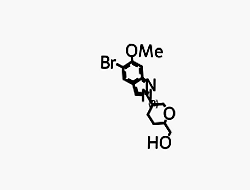 COc1cc2nn([C@@H]3CCC(CO)OC3)cc2cc1Br